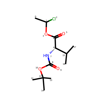 CC(Cl)OC(=O)[C@@H](NC(=O)OC(C)(C)C)C(C)C